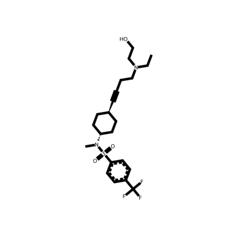 CCN(CCO)CCC#C[C@H]1CC[C@H](N(C)S(=O)(=O)c2ccc(C(F)(F)F)cc2)CC1